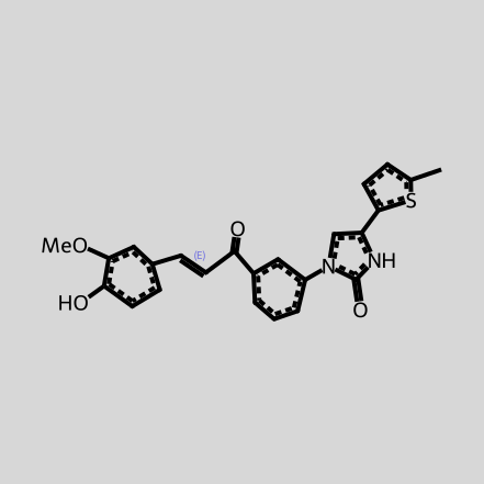 COc1cc(/C=C/C(=O)c2cccc(-n3cc(-c4ccc(C)s4)[nH]c3=O)c2)ccc1O